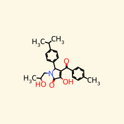 Cc1ccc(C(=O)C2=C(O)C(=O)N(CC(C)O)C2c2ccc(C(C)C)cc2)cc1